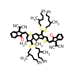 C=C1C=C(/C=C2\C(=O)c3ccccc3C2=C(C#N)C#N)SC2=C(C1=C(SCCC(C)CCCC(C)C)SCCC(C)CCCC(C)C)[C@@H](C)C1C(=C2)C(=C(SCCC(C)CCCC(C)C)SCCC(C)CCCC(C)C)c2cc(/C=C3\C(=O)c4ccccc4C3=C(C#N)C#N)sc21